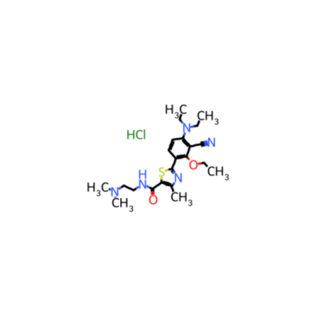 CCOc1c(-c2nc(C)c(C(=O)NCCN(C)C)s2)ccc(N(CC)CC)c1C#N.Cl